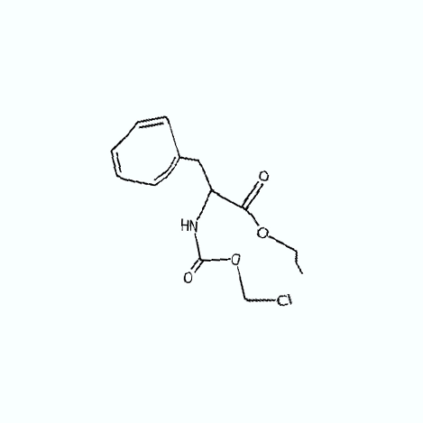 CCOC(=O)C(Cc1ccccc1)NC(=O)OCCl